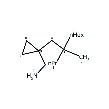 CCCCCCC(C)(CCC)CC1(CN)CC1